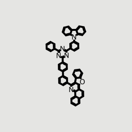 c1ccc(-c2nc(-c3ccc(-c4cccc(-c5nc6c7ccccc7ccc6c6oc7ccccc7c56)c4)cc3)nc(-c3cccc(-n4c5ccccc5c5ccccc54)c3)n2)cc1